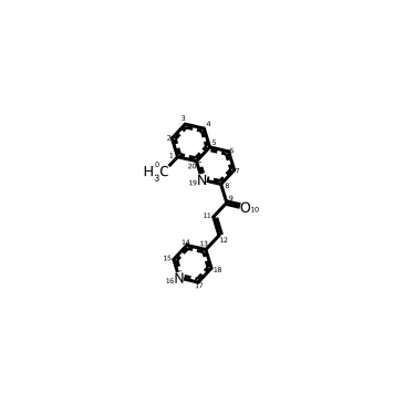 Cc1cccc2ccc(C(=O)C=Cc3ccncc3)nc12